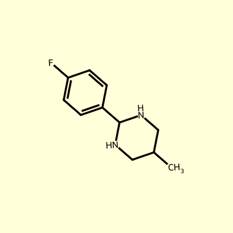 CC1CNC(c2ccc(F)cc2)NC1